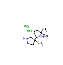 CC1(C)CCC(C2(C)CCNC2)N1.Cl.Cl